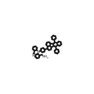 N#Cc1ccccc1N(c1ccc(-c2ccc3c4c(cccc24)-c2c-3c(-c3ccccc3)c3ccccc3c2-c2ccccc2)cc1)c1ccccc1CN